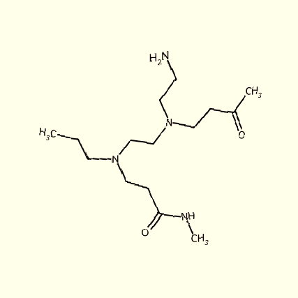 CCCN(CCC(=O)NC)CCN(CCN)CCC(C)=O